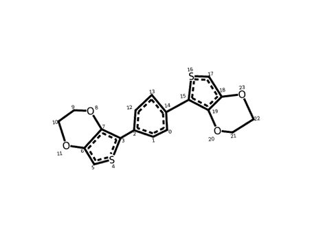 c1cc(-c2scc3c2OCCO3)ccc1-c1scc2c1OCCO2